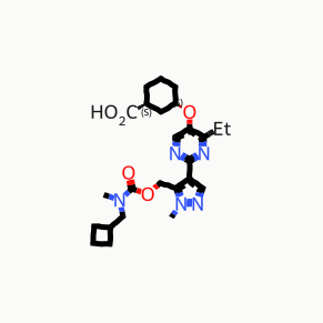 CCc1nc(-c2cnn(C)c2COC(=O)N(C)CC2CCC2)ncc1O[C@H]1CCC[C@H](C(=O)O)C1